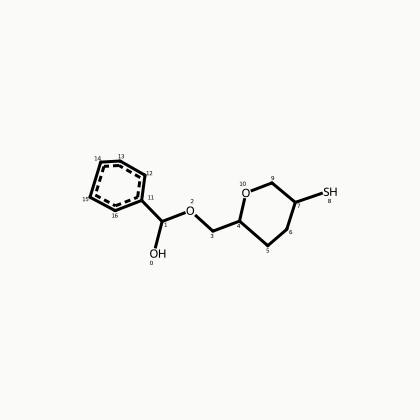 OC(OCC1CCC(S)CO1)c1ccccc1